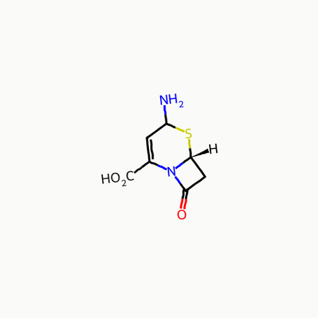 NC1C=C(C(=O)O)N2C(=O)C[C@H]2S1